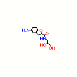 Nc1ccc2c(c1)CC(C(=O)NCC(O)CO)O2